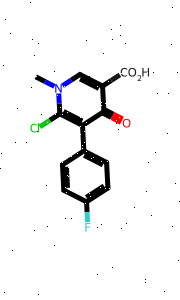 Cn1cc(C(=O)O)c(=O)c(-c2ccc(F)cc2)c1Cl